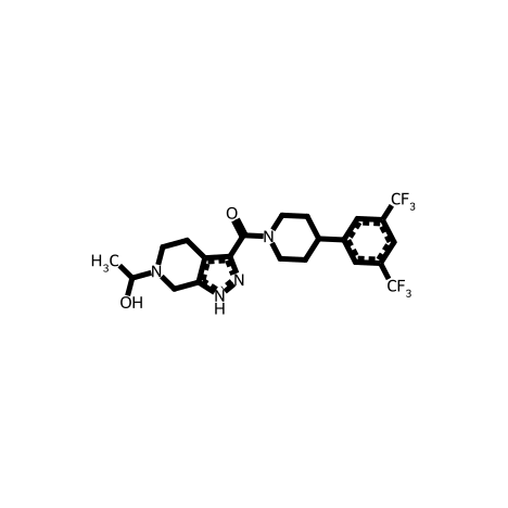 CC(O)N1CCc2c(C(=O)N3CCC(c4cc(C(F)(F)F)cc(C(F)(F)F)c4)CC3)n[nH]c2C1